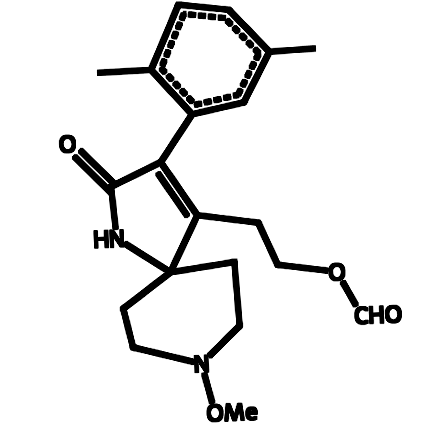 CON1CCC2(CC1)NC(=O)C(c1cc(C)ccc1C)=C2CCOC=O